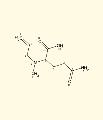 C=CCN(C)C(CCC(N)=O)C(=O)O